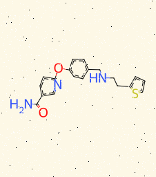 NC(=O)c1ccc(Oc2ccc(CNCCc3cccs3)cc2)nc1